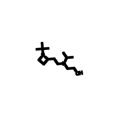 CC(C)N(CCO)CCC1CCN1C(C)(C)C